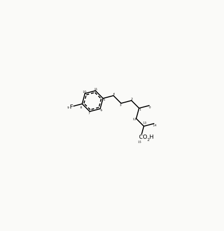 CC(CCCc1ccc(F)cc1)CC(C)C(=O)O